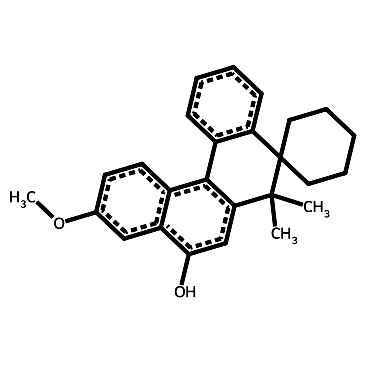 COc1ccc2c3c(cc(O)c2c1)C(C)(C)C1(CCCCC1)c1ccccc1-3